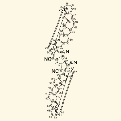 N#Cc1c2c(c(C#N)c3cc4c(C#N)c5c(c(C#N)c4cc13)-c1cc3c4cc1Cc1cc6c(cc1-5)C=Cc1cc5c(cc1C6)Cc1cc(c(cc1C=C5)C=C3)C4)-c1cc3c4cc1Cc1cc5c(cc1-2)C=Cc1cc2c(cc1C5)Cc1cc(c(cc1C=C2)C=C3)C4